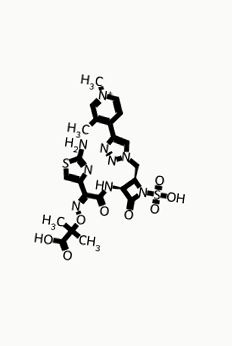 Cc1c[n+](C)ccc1-c1cn(C[C@@H]2[C@H](NC(=O)/C(=N\OC(C)(C)C(=O)O)c3csc(N)n3)C(=O)N2S(=O)(=O)O)nn1